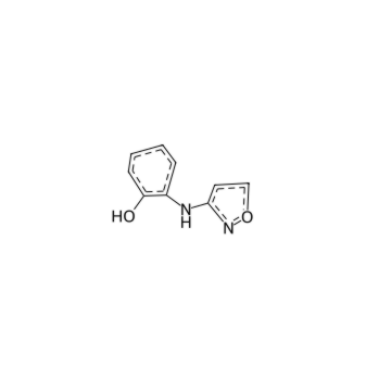 Oc1ccccc1Nc1ccon1